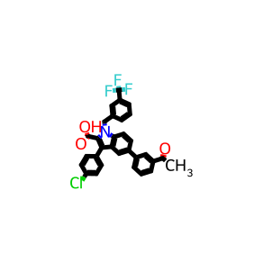 CC(=O)c1cccc(-c2ccc3c(c2)c(-c2ccc(Cl)cc2)c(C(=O)O)n3Cc2cccc(C(F)(F)F)c2)c1